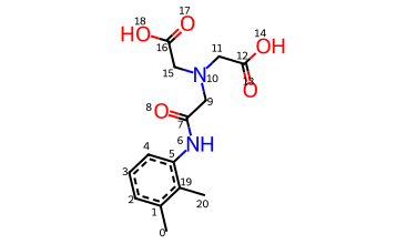 Cc1cccc(NC(=O)CN(CC(=O)O)CC(=O)O)c1C